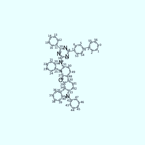 c1ccc(-c2ccc(-c3nc(-c4ccccc4)nc(-n4c5ccccc5c5c6oc7c(ccc8c7c7ccccc7n8-c7ccccc7)c6ccc54)n3)cc2)cc1